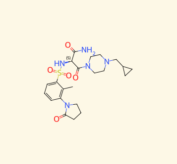 Cc1c(N2CCCC2=O)cccc1S(=O)(=O)N[C@@H](C(N)=O)C(=O)N1CCN(CC2CC2)CC1